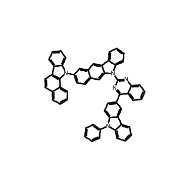 c1ccc(-n2c3ccccc3c3cc(-c4nc(-n5c6ccccc6c6cc7cc(-n8c9ccccc9c9ccc%10ccccc%10c98)ccc7cc65)nc5ccccc45)ccc32)cc1